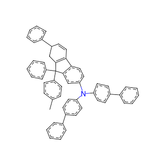 Cc1ccc(C2(c3ccccc3)C3=C(C=CC(c4ccccc4)C3)c3ccc(N(c4ccc(-c5ccccc5)cc4)c4ccc(-c5ccccc5)cc4)cc32)cc1